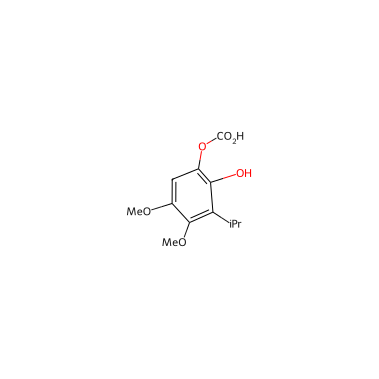 COc1cc(OC(=O)O)c(O)c(C(C)C)c1OC